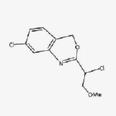 COCC(Cl)C1=Nc2cc(Cl)ccc2CO1